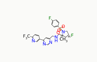 C[C@@]1(C(=O)NCc2cc(-c3ccc(C(F)(F)F)nc3)ncn2)C[C@@H](F)CN1S(=O)(=O)c1ccc(F)cc1